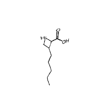 CCCCCC1CNC1C(=O)O